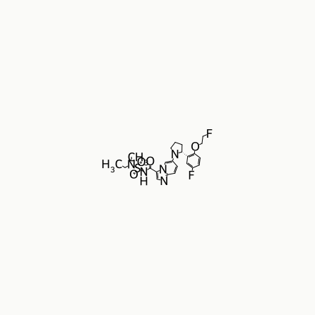 CCN(C)S(=O)(=O)NC(=O)c1cnc2ccc(N3CCC[C@@H]3c3cc(F)ccc3OCCF)cn12